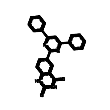 O=c1[nH]c(=O)c2cc(-c3nc(-c4ccccc4)cc(-c4ccccc4)n3)ccc2[nH]1